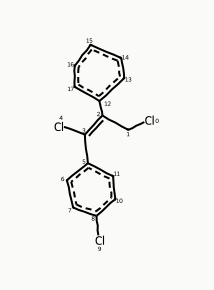 ClCC(=C(Cl)c1ccc(Cl)cc1)c1ccccc1